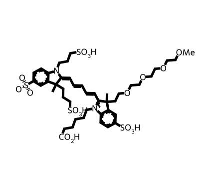 COCCOCCOCCOCCC1(C)C(/C=C/C=C/C=C2/N(CCCS(=O)(=O)O)c3ccc(S(=O)(=O)[O-])cc3C2(C)CCCS(=O)(=O)O)=[N+](CCCCCC(=O)O)c2ccc(S(=O)(=O)O)cc21